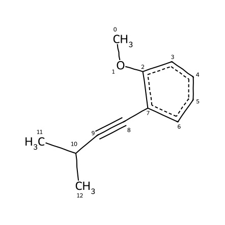 COc1ccccc1C#CC(C)C